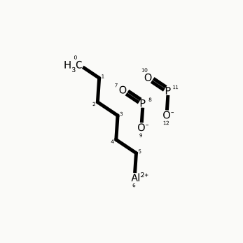 CCCCC[CH2][Al+2].O=P[O-].O=P[O-]